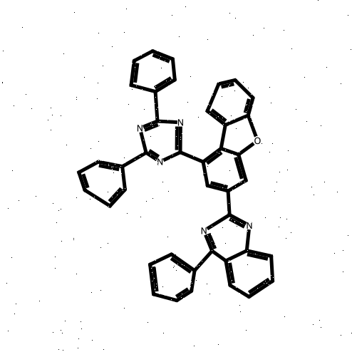 c1ccc(-c2nc(-c3ccccc3)nc(-c3cc(-c4nc(-c5ccccc5)c5ccccc5n4)cc4oc5ccccc5c34)n2)cc1